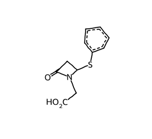 O=C(O)CN1C(=O)CC1Sc1ccccc1